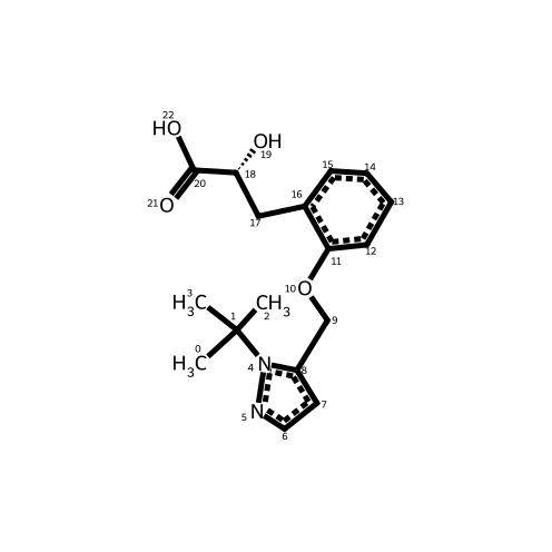 CC(C)(C)n1nccc1COc1ccccc1C[C@@H](O)C(=O)O